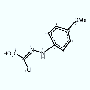 COc1ccc(N/N=C(\Cl)C(=O)O)cc1